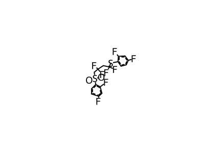 O=S(=O)(CC(F)(F)CC(F)(F)Sc1ccc(F)cc1F)c1ccc(F)cc1F